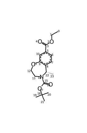 CCOC(=O)c1ccc2c(c1)OCCN(C(=O)OC(C)(C)C)[C@H]2C